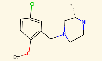 CCOc1ccc(Cl)cc1CN1CCN[C@@H](C)C1